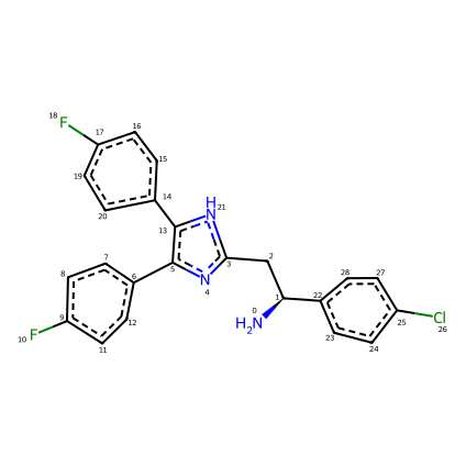 N[C@@H](Cc1nc(-c2ccc(F)cc2)c(-c2ccc(F)cc2)[nH]1)c1ccc(Cl)cc1